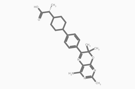 Cc1nc(N)c2c(n1)OC(C)(C)C(c1ccc(C3CCC([C@@H](C)C(=O)O)CC3)cc1)=N2